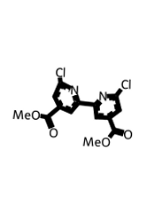 COC(=O)c1cc(Cl)nc(-c2cc(C(=O)OC)cc(Cl)n2)c1